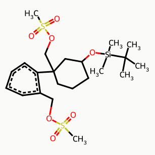 CC(C)(C)[Si](C)(C)OC1CCCC(COS(C)(=O)=O)(c2ccccc2COS(C)(=O)=O)C1